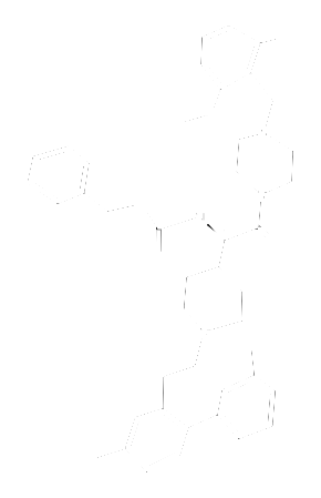 CCOc1cccc(F)c1CN1CCN(C(=O)[C@H](NC(=O)OCc2ccccc2)C2CCN(CCc3cc(Cl)ccc3-c3cccc(C(C)(C)C)c3)CC2)CC1